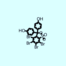 O=S1(=O)OC(c2ccc(O)cc2)(c2ccc(O)cc2)c2c(Br)c(Br)c(Br)c(Br)c21